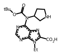 CCn1c(C(=O)O)nc2c(N(C(=O)OC(C)(C)C)C3CCNC3)ncnc21